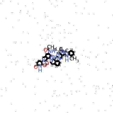 CC(=O)Nc1cc2c(c(N3CCc4ccccc4C3Nc3ncc4c(Nc5c(C)cccc5C)nn(C)c4n3)c1)C(=O)N(C1CCC(=O)NC1=O)C2